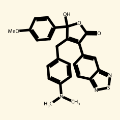 COc1ccc(C2(O)OC(=O)C(c3ccc4nsnc4c3)=C2Cc2ccc(N(C)C)cc2)cc1